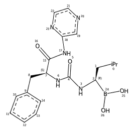 CC(C)C[C@H](NC(=O)N[C@@H](Cc1ccccc1)C(=O)Nc1cnccn1)B(O)O